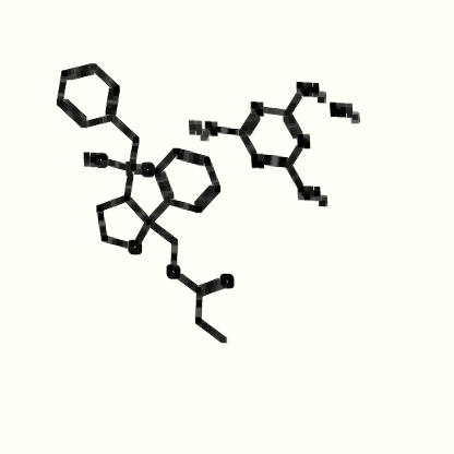 CCC(=O)OCC1(c2ccccc2)OCCC1P(=O)(O)Cc1ccccc1.N.Nc1nc(N)nc(N)n1